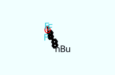 CCCCC1CCC2CC(c3cc(F)c4cc(OC(F)F)ccc4c3)CCC2C1